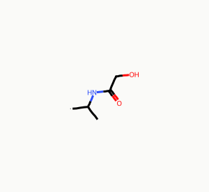 [CH2]C(C)NC(=O)CO